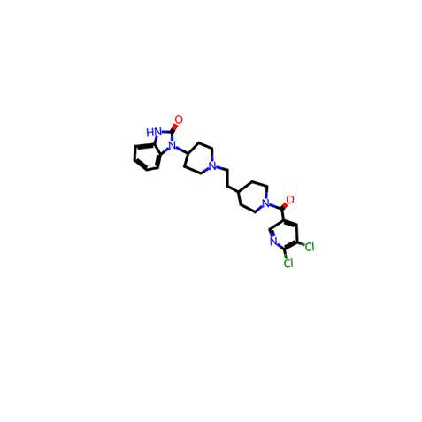 O=C(c1cnc(Cl)c(Cl)c1)N1CCC(CCN2CCC(n3c(=O)[nH]c4ccccc43)CC2)CC1